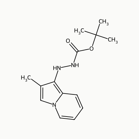 Cc1cn2ccccc2c1NNC(=O)OC(C)(C)C